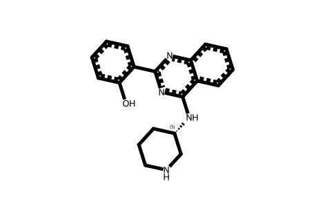 Oc1ccccc1-c1nc(N[C@H]2CCCNC2)c2ccccc2n1